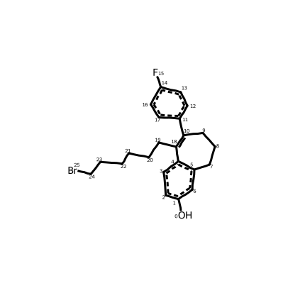 Oc1ccc2c(c1)CCCC(c1ccc(F)cc1)=C2CCCCCCBr